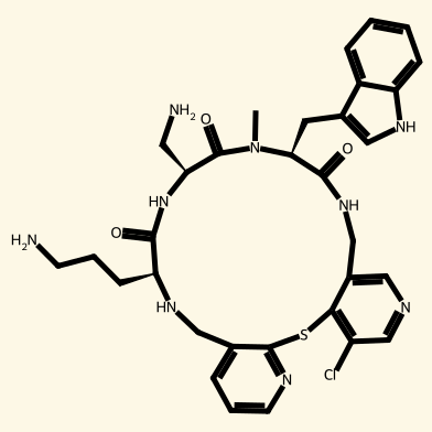 CN1C(=O)[C@H](CN)NC(=O)[C@H](CCCN)NCc2cccnc2Sc2c(Cl)cncc2CNC(=O)[C@@H]1Cc1c[nH]c2ccccc12